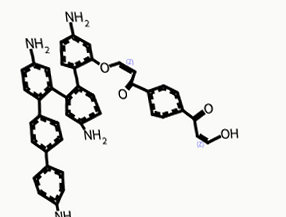 Nc1ccc(-c2ccc(-c3ccc(N)cc3-c3cc(N)ccc3-c3ccc(N)cc3O/C=C\C(=O)c3ccc(C(=O)/C=C\O)cc3)cc2)cc1